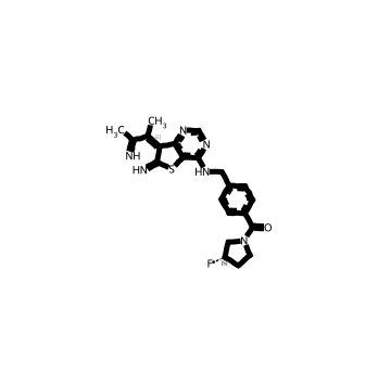 CC(=N)/C(C)=C1\C(=N)Sc2c(NCc3ccc(C(=O)N4CC[C@H](F)C4)cc3)ncnc21